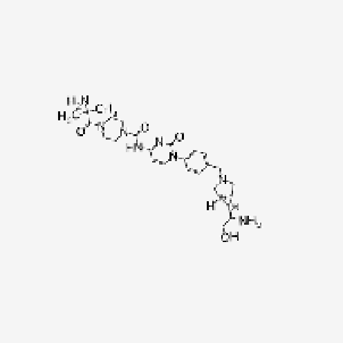 CC(C)(N)C(=O)N1CCN(C(=O)Nc2ccn(-c3ccc(CN4CC5[C@@H](C(N)CO)[C@@H]5C4)cc3)c(=O)n2)CC1